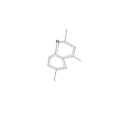 [CH2]c1ccc2nc(C)cc(C)c2c1